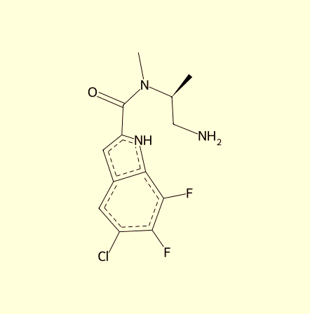 C[C@@H](CN)N(C)C(=O)c1cc2cc(Cl)c(F)c(F)c2[nH]1